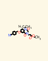 CCOC(=O)CCN1CC(=O)N(C(C)C)c2ccc(OCc3ccc(C#N)cc3)cc2C1=O